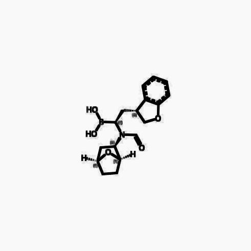 O=CN([C@H](C[C@H]1COc2ccccc21)B(O)O)[C@@H]1C[C@@H]2CC[C@H]1O2